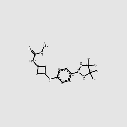 CC(C)(C)OC(=O)NC1CC(Oc2ccc(B3OC(C)(C)C(C)(C)O3)cc2)C1